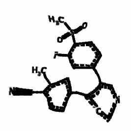 Cc1cc(-c2ccncc2-c2ccc(S(C)(=O)=O)c(F)c2)ccc1C#N